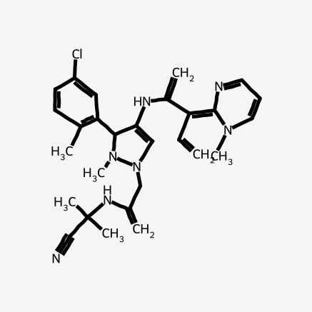 C=C/C(C(=C)NC1=CN(CC(=C)NC(C)(C)C#N)N(C)C1c1cc(Cl)ccc1C)=C1/N=CC=CN1C